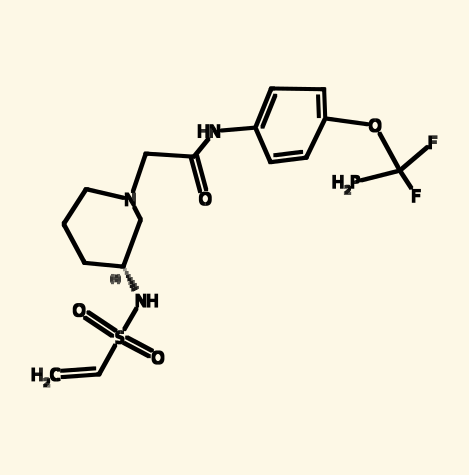 C=CS(=O)(=O)N[C@@H]1CCCN(CC(=O)Nc2ccc(OC(F)(F)P)cc2)C1